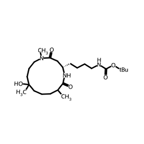 CC1CCCC(C)(O)CCCN(C)C(=O)C[C@H](CCCCNC(=O)OC(C)(C)C)NC1=O